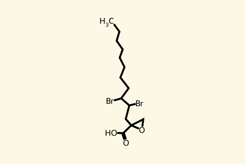 CCCCCCCCC(Br)C(Br)CC1(C(=O)O)CO1